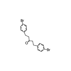 O=C(CCc1ccc(Br)cc1)CCc1ccc(Br)cc1